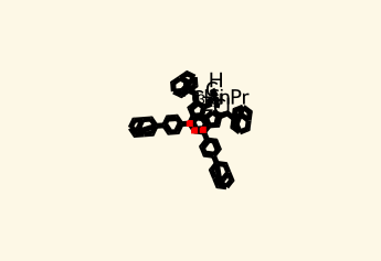 CCC[SiH](C)[Zr]([Cl])([Cl])([CH]1C(CC23CC4CC(CC(C4)C2)C3)=Cc2c(-c3ccc(C45CC6CC(CC(C6)C4)C5)cc3)cccc21)[CH]1C(CC23CC4CC(CC(C4)C2)C3)=Cc2c(-c3ccc(C45CC6CC(CC(C6)C4)C5)cc3)cccc21